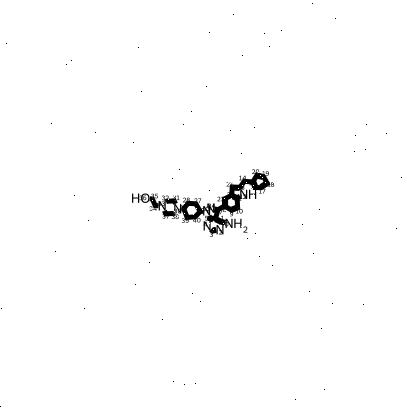 Nc1ncnc2c1c(-c1ccc3[nH]c(Cc4ccccc4)cc3c1)nn2C1CCC(N2CCN(CCO)CC2)CC1